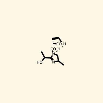 C=CC.CC(=O)O.CC1CN(C(=O)O)C(C(C)O)=N1